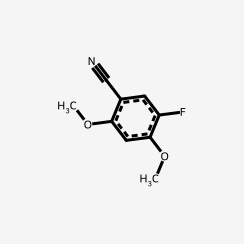 COc1cc(OC)c(C#N)cc1F